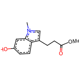 COC(=O)CCc1cn(C)c2cc(O)ccc12